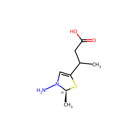 CC(CC(=O)O)C1=CN(N)[C@H](C)S1